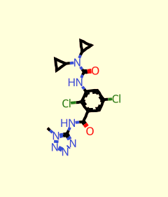 Cn1nnnc1NC(=O)c1cc(Cl)cc(NC(=O)N(C2CC2)C2CC2)c1Cl